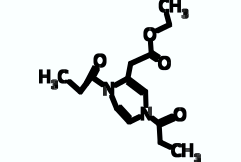 CCOC(=O)CC1=CN(C(=O)CC)C=CN1C(=O)CC